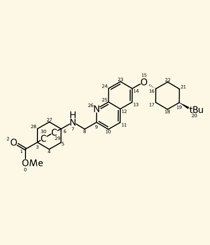 COC(=O)C12CCC(NCc3ccc4cc(O[C@H]5CC[C@H](C(C)(C)C)CC5)ccc4n3)(CC1)CC2